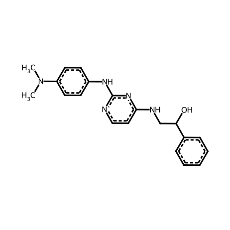 CN(C)c1ccc(Nc2nccc(NCC(O)c3ccccc3)n2)cc1